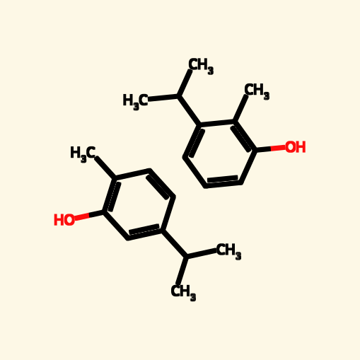 Cc1c(O)cccc1C(C)C.Cc1ccc(C(C)C)cc1O